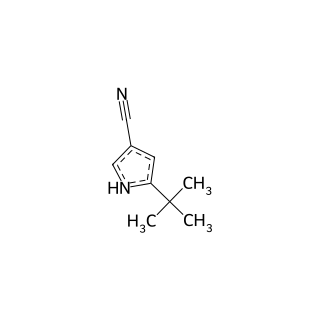 CC(C)(C)c1cc(C#N)c[nH]1